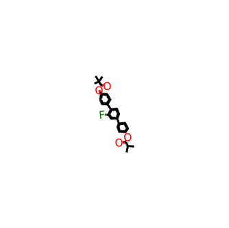 CC(C)C(=O)Oc1ccc(-c2ccc(-c3ccc(OC(=O)C(C)(C)C)cc3)c(F)c2)cc1